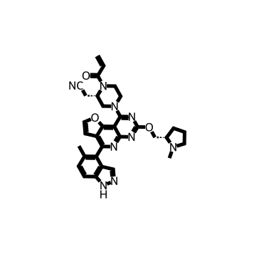 C=CC(=O)N1CCN(c2nc(OC[C@@H]3CCCN3C)nc3nc(-c4c(C)ccc5[nH]ncc45)c4ccoc4c23)C[C@@H]1CC#N